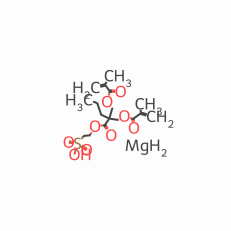 C=C(C)C(=O)OCC(CCC)(COC(=O)C(=C)C)C(=O)OCCS(=O)(=O)O.[MgH2]